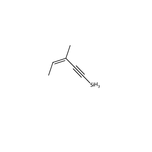 CC=C(C)C#C[SiH3]